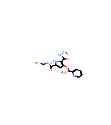 CCNC(=O)c1cc(O[C@@H](C)c2ccccn2)c(C(=O)NC)[nH]1